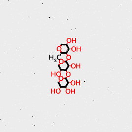 C[C@@H]1OC[C@H](O)[C@H](O)[C@H]1O[C@@H]1OC[C@@H](O)[C@H](O[C@@H]2OC[C@@H](O)[C@H](O)[C@H]2O)[C@H]1O